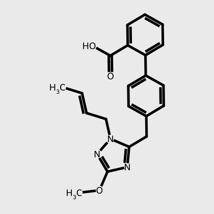 CC=CCn1nc(OC)nc1Cc1ccc(-c2ccccc2C(=O)O)cc1